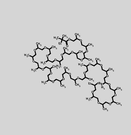 CCCCC(CC)COC(C)COC(C)COC(C)COC(C)COC(C)COC(C)COC(C)COC(C)COC(C)COC(C)COC(C)COC(C)COC(C)COC(C)COC(C)COC(C)COC(C)COC(C)COC(C)COC(C)COC(C)COC(C)COC(C)COC(C)COC(C)COC(=O)C(C)(C)CC